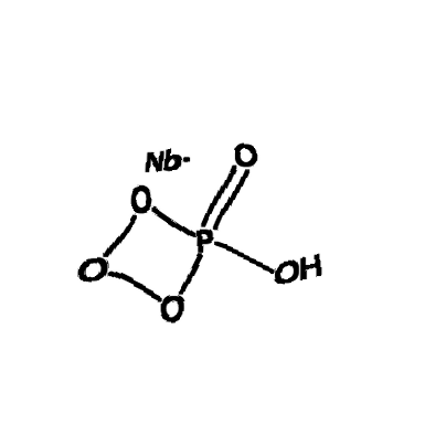 O=P1(O)OOO1.[Nb]